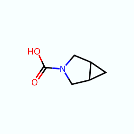 O=C(O)N1CC2CC2C1